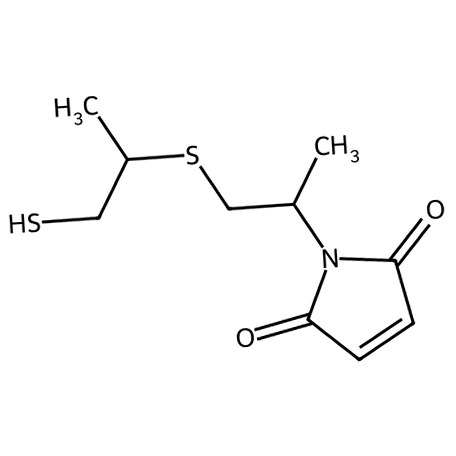 CC(CS)SCC(C)N1C(=O)C=CC1=O